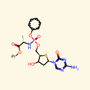 CC(C)OC(=O)[C@H](C)NP(=O)(OC[C@H]1S[C@@H](n2cnc(N)nc2=O)CC1O)Oc1ccccc1